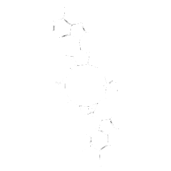 Nc1ncnc2c1ncn2C1OC2COP(=O)(O)OC3C(O)C(COP(=O)(O)OC2C1F)OC3n1cnc2cc(Cl)c(Cl)cc21